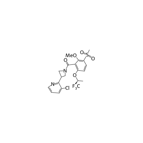 COc1c(S(C)(=O)=O)ccc(O[C@@H](C)C(F)(F)F)c1C(=O)N1CC(c2ncccc2Cl)C1